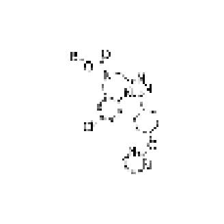 CC(C)(C)OC(=O)N1Cc2cc(Cl)ccc2-n2c(nnc2C2CCC(Oc3ncccn3)CC2)C1